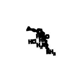 Cl.NCCCC(N)CNC(=O)c1cc2ccc(C#CC3CC3)cc2[nH]1